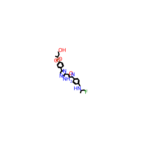 CC(CF)NCc1ccc(-c2cc(-c3nc(-c4ccc(S(=O)(=O)C(C)CCO)cc4)cnc3N)on2)cc1